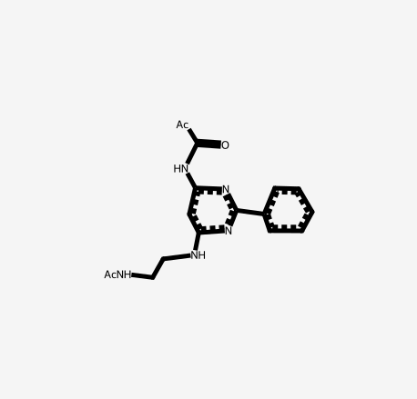 CC(=O)NCCNc1cc(NC(=O)C(C)=O)nc(-c2ccccc2)n1